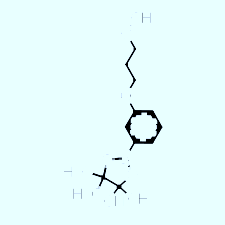 COCCCOc1cccc(B2OC(C)(C)C(C)(C)O2)c1